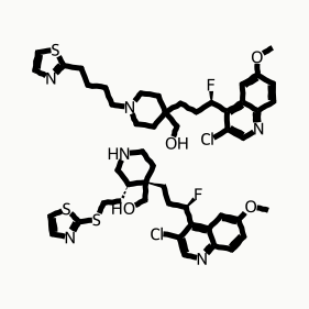 COc1ccc2ncc(Cl)c([C@H](F)CCC3(CO)CCN(CCCCc4nccs4)CC3)c2c1.COc1ccc2ncc(Cl)c([C@H](F)CC[C@]3(CO)CCNC[C@H]3CCSc3nccs3)c2c1